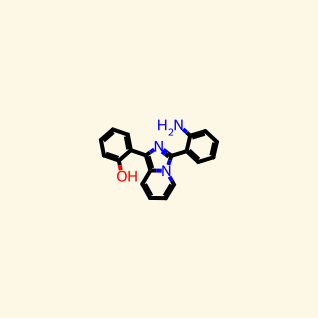 Nc1ccccc1-c1nc(-c2ccccc2O)c2ccccn12